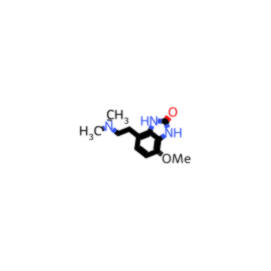 COc1ccc(CCN(C)C)c2[nH]c(=O)[nH]c12